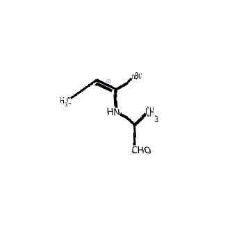 C/C=C(/CCCC)NC(C)C=O